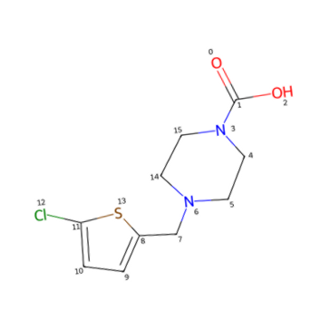 O=C(O)N1CCN(Cc2ccc(Cl)s2)CC1